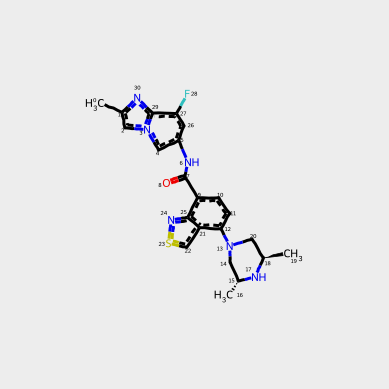 Cc1cn2cc(NC(=O)c3ccc(N4C[C@@H](C)N[C@H](C)C4)c4csnc34)cc(F)c2n1